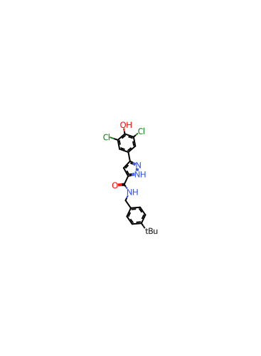 CC(C)(C)c1ccc(CNC(=O)c2cc(-c3cc(Cl)c(O)c(Cl)c3)n[nH]2)cc1